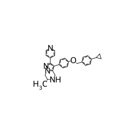 CC1Cn2nc(-c3ccncc3)c(-c3ccc(OCc4ccc(C5CC5)cc4)cc3)c2CN1